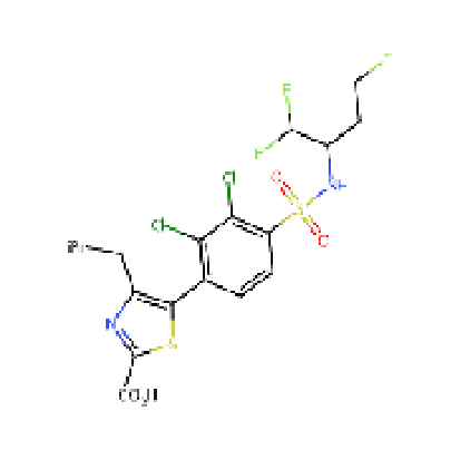 CC(C)Cc1nc(C(=O)O)sc1-c1ccc(S(=O)(=O)NC(CCF)C(F)F)c(Cl)c1Cl